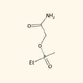 CCP(C)(=O)OCC(N)=O